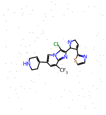 FC(F)(F)c1cc(C2=CCNCC2)cn2c(Cl)c(C3[N]CC=C3c3nccs3)nc12